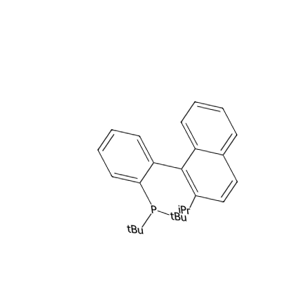 CC(C)c1ccc2ccccc2c1-c1ccccc1P(C(C)(C)C)C(C)(C)C